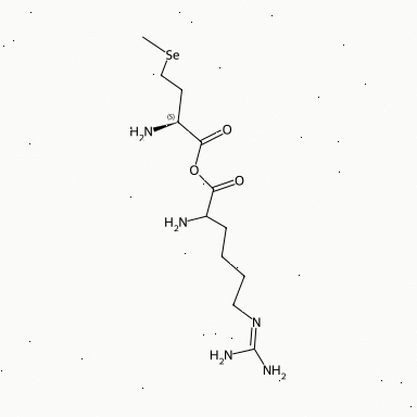 C[Se]CC[C@H](N)C(=O)OC(=O)C(N)CCCCN=C(N)N